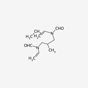 C=CN(C=O)CC(C)CN(C=C)C=O.CC